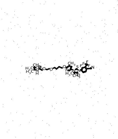 Cc1cc(N2C(=S)N(c3ccc(C#N)c(C(F)(F)F)c3F)C(=O)C2(C)C)cnc1OCCCCOCCOCC(=O)NC(C)C(C)(C)C